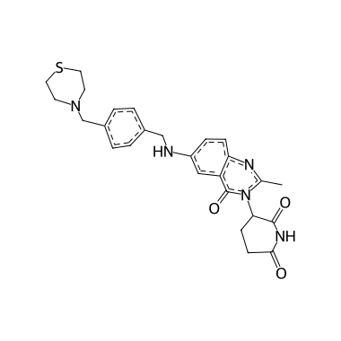 Cc1nc2ccc(NCc3ccc(CN4CCSCC4)cc3)cc2c(=O)n1C1CCC(=O)NC1=O